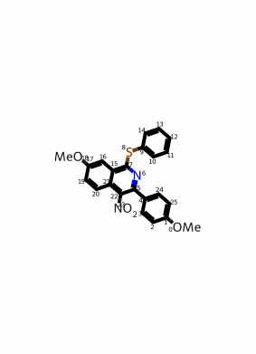 COc1ccc(-c2nc(Sc3ccccc3)c3cc(OC)ccc3c2[N+](=O)[O-])cc1